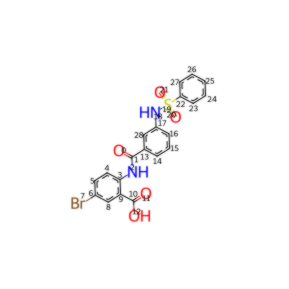 O=C(Nc1ccc(Br)cc1C(=O)O)c1cccc(NS(=O)(=O)c2ccccc2)c1